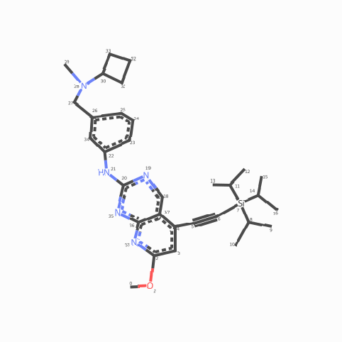 COc1cc(C#C[Si](C(C)C)(C(C)C)C(C)C)c2cnc(Nc3cccc(CN(C)C4CCC4)c3)nc2n1